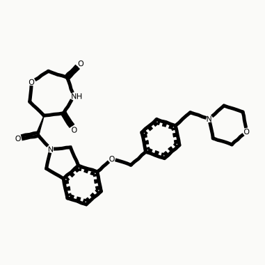 O=C1COC[C@H](C(=O)N2Cc3cccc(OCc4ccc(CN5CCOCC5)cc4)c3C2)C(=O)N1